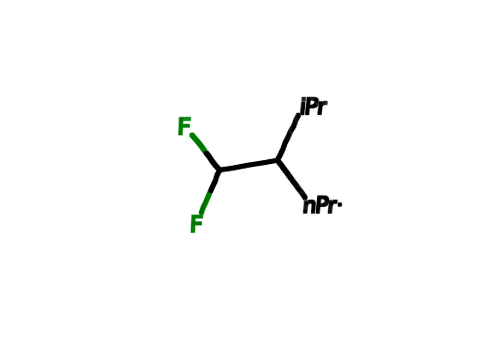 CC[CH]C(C(C)C)C(F)F